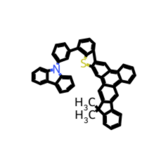 CC1(C)c2ccccc2-c2cc3c4ccccc4c4cc5c(cc4c3cc21)sc1c(-c2cccc(-n3c4ccccc4c4ccccc43)c2)cccc15